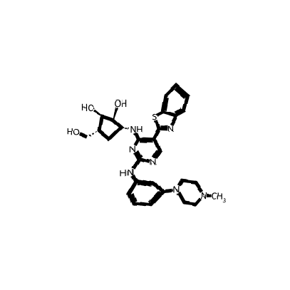 CN1CCN(c2cccc(Nc3ncc(-c4nc5ccccc5s4)c(N[C@@H]4C[C@H](CO)[C@@H](O)[C@H]4O)n3)c2)CC1